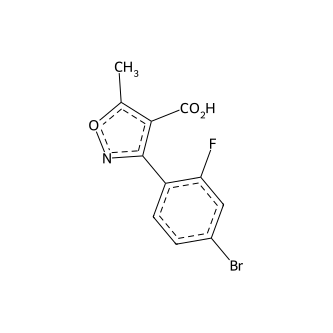 Cc1onc(-c2ccc(Br)cc2F)c1C(=O)O